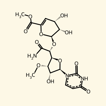 COC(=O)C1=C[C@H](O)[C@H](O)[C@@H](O[C@@H](C(N)=O)[C@H]2O[C@@H](n3ccc(=O)[nH]c3=O)[C@H](O)[C@@H]2OC)O1